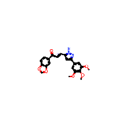 COc1cc(-c2cc(/C=C/C(=O)c3ccc4c(c3)OCO4)[nH]n2)cc(OC)c1OC